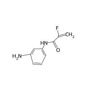 C=C(F)C(=O)Nc1cccc(N)c1